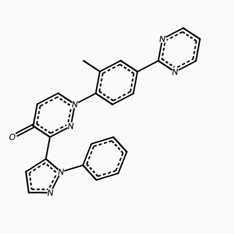 Cc1cc(-c2ncccn2)ccc1-n1ccc(=O)c(-c2ccnn2-c2ccccc2)n1